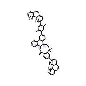 C=C1/C=c2\c(c3ccc(-c4cc(C)c(-c5ccc6ccc7cccnc7c6n5)cc4C)cc3c3ccccc23)=C/CC(C)(C)c2cc(-c3ccc4ccc5cccnc5c4n3)ccc21